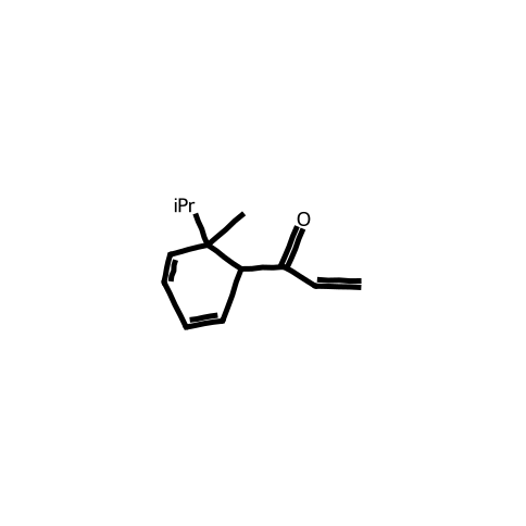 C=CC(=O)C1C=CC=CC1(C)C(C)C